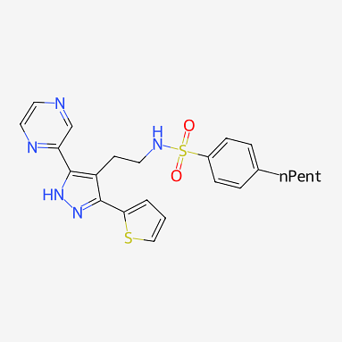 CCCCCc1ccc(S(=O)(=O)NCCc2c(-c3cccs3)n[nH]c2-c2cnccn2)cc1